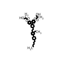 C=C(CO)C(=O)Oc1ccc(C2(c3ccc(OC(=O)C(=C)CO)cc3)CCC(CCc3ccc(C4CCC(CCCCCC)CC4)cc3CC)CC2)cc1